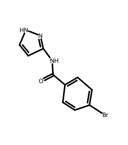 O=C(Nc1cc[nH]n1)c1ccc(Br)cc1